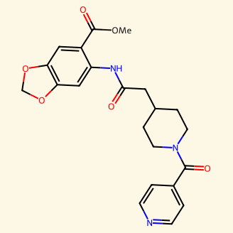 COC(=O)c1cc2c(cc1NC(=O)CC1CCN(C(=O)c3ccncc3)CC1)OCO2